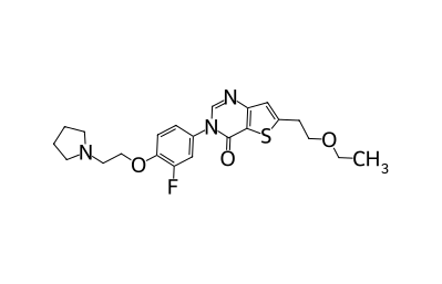 CCOCCc1cc2ncn(-c3ccc(OCCN4CCCC4)c(F)c3)c(=O)c2s1